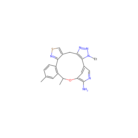 CCn1nnc2c1-c1cnc(N)c(c1)OC(C)c1cc(C)ccc1-c1nscc1C2